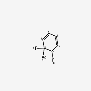 CC(=O)C1(F)C=CC=CC1F